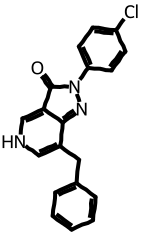 O=c1c2c[nH]cc(Cc3ccccc3)c-2nn1-c1ccc(Cl)cc1